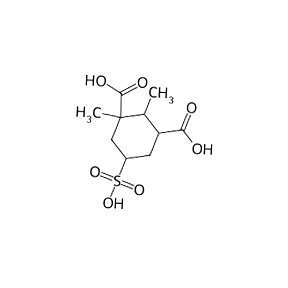 CC1C(C(=O)O)CC(S(=O)(=O)O)CC1(C)C(=O)O